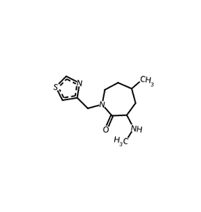 CNC1CC(C)CCN(Cc2cscn2)C1=O